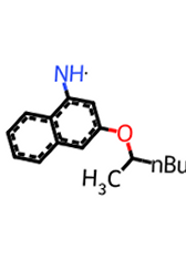 CCCCC(C)Oc1cc([NH])c2ccccc2c1